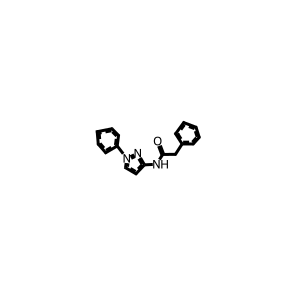 O=C(Cc1ccccc1)Nc1ccn(-c2ccccc2)n1